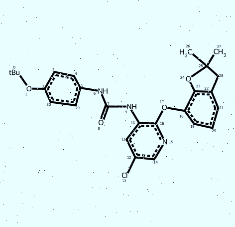 CC(C)(C)Oc1ccc(NC(=O)Nc2cc(Cl)cnc2Oc2cccc3c2OC(C)(C)C3)cc1